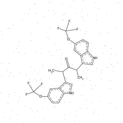 CC(C(=O)C(C)c1c[nH]c2ccc(OC(F)(F)F)cc12)c1c[nH]c2ccc(OC(F)(F)F)cc12